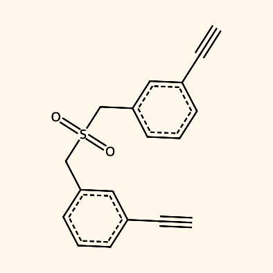 C#Cc1cccc(CS(=O)(=O)Cc2cccc(C#C)c2)c1